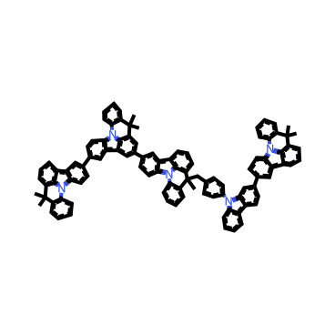 CC1(C)c2ccccc2-n2c3ccc(-c4ccc5c(c4)c4cc(-c6ccc7c(c6)c6cccc8c6n7-c6ccccc6C8(C)Cc6ccc(-n7c8ccccc8c8ccc(-c9ccc%10c(c9)c9cccc%11c9n%10-c9ccccc9C%11(C)C)cc87)cc6)cc6c4n5-c4ccccc4C6(C)C)cc3c3cccc1c32